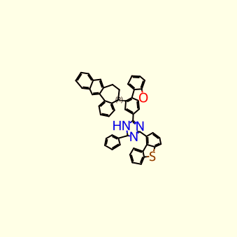 c1ccc(C2N=C(c3cccc4sc5ccccc5c34)N=C(c3cc([C@@H]4CCc5cc6ccccc6cc5-c5ccccc54)c4c(c3)oc3ccccc34)N2)cc1